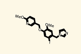 COc1ccc(COc2cc(I)c(Cn3ccnc3)cc2OC)cn1